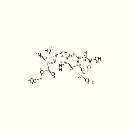 CCOC(=O)/C(C#N)=C(\Nc1ccc(NC(C)=O)c(OCC)c1)C(C)C